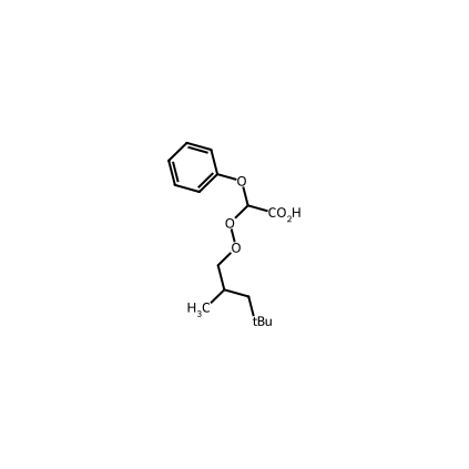 CC(COOC(Oc1ccccc1)C(=O)O)CC(C)(C)C